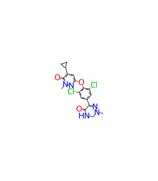 CN1CNC(=O)C(c2cc(Cl)c(Oc3cc(C4CC4)c(=O)n(C)n3)c(Cl)c2)=N1